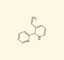 C=CC1=CC=CNC1c1ccccn1